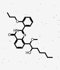 CCCCCC(O)C(OC)c1cccc2c(=O)[nH]c(-c3ccccc3OCCC)nc12